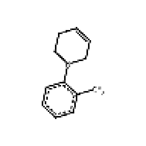 FC(F)(F)c1ccccc1N1CC=CCC1